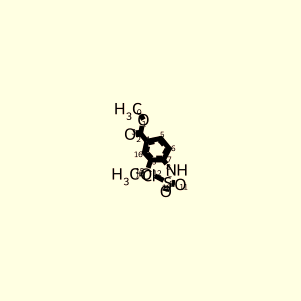 COC(=O)c1ccc(NS(=O)(=O)Cl)c(OC)c1